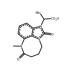 CN1C(=O)CCCn2c(=O)n(C(C(=O)O)C(C)(C)C)c3cccc1c32